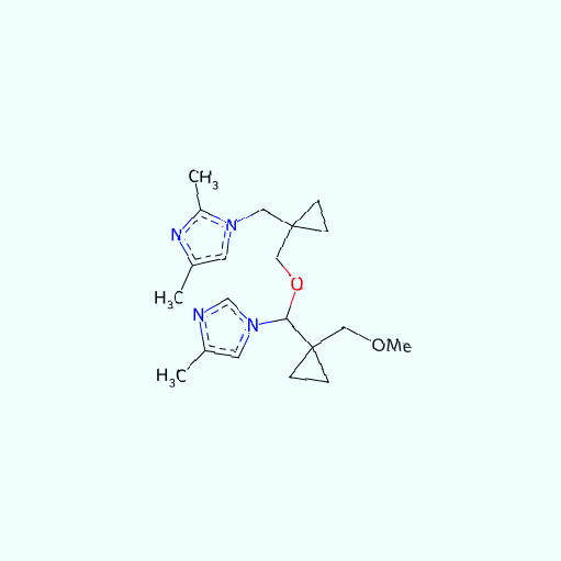 COCC1(C(OCC2(Cn3cc(C)nc3C)CC2)n2cnc(C)c2)CC1